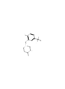 CC1CCN(Cc2cc(C(F)(F)F)ccc2F)CC1